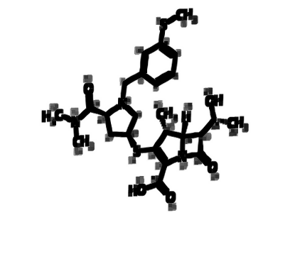 CSc1cccc(CN2C[C@@H](SC3=C(C(=O)O)N4C(=O)[C@H]([C@@H](C)O)[C@H]4[C@H]3C)C[C@H]2C(=O)N(C)C)c1